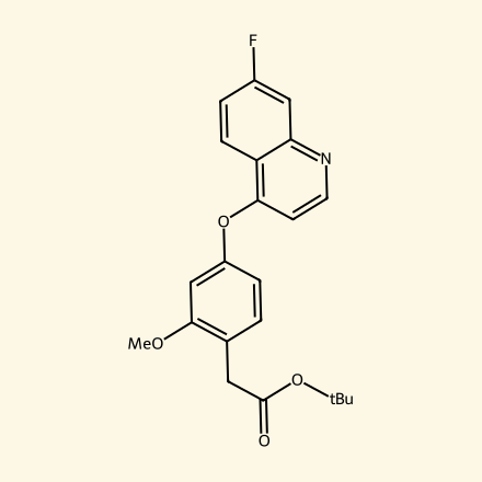 COc1cc(Oc2ccnc3cc(F)ccc23)ccc1CC(=O)OC(C)(C)C